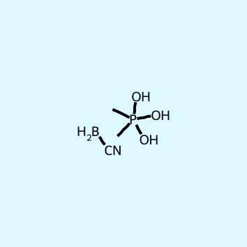 BC#N.CP(C)(O)(O)O